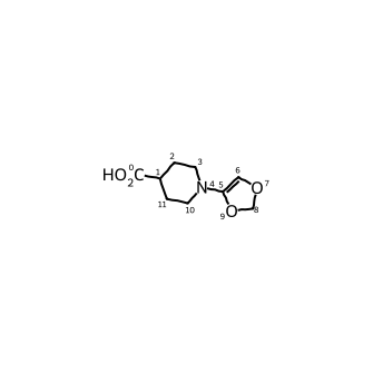 O=C(O)C1CCN(C2=COCO2)CC1